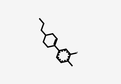 CCCC1CC=C(c2ccc(C)c(F)c2)CC1